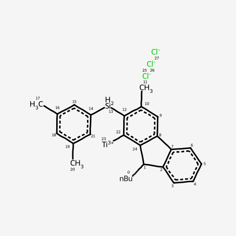 CCCCC1c2ccccc2-c2cc(C)c([SiH2]c3cc(C)cc(C)c3)[c]([Ti+3])c21.[Cl-].[Cl-].[Cl-]